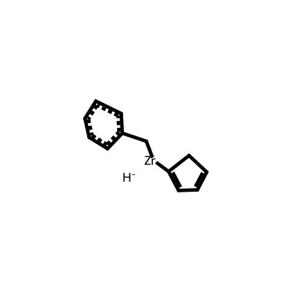 C1=CC[C]([Zr][CH2]c2ccccc2)=C1.[H-]